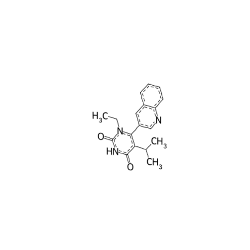 CCn1c(-c2cnc3ccccc3c2)c(C(C)C)c(=O)[nH]c1=O